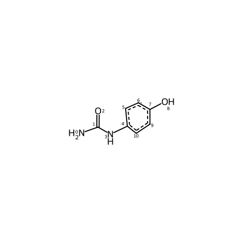 NC(=O)Nc1c[c]c(O)cc1